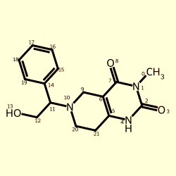 Cn1c(=O)[nH]c2c(c1=O)CN(C(CO)c1ccccc1)CC2